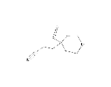 N#CCCC1(C=O)CCOCC1